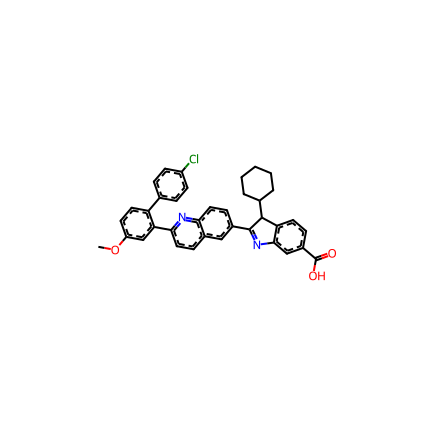 COc1ccc(-c2ccc(Cl)cc2)c(-c2ccc3cc(C4=Nc5cc(C(=O)O)ccc5C4C4CCCCC4)ccc3n2)c1